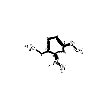 [CH2]CC1=CC=C(SC)CC1=NO